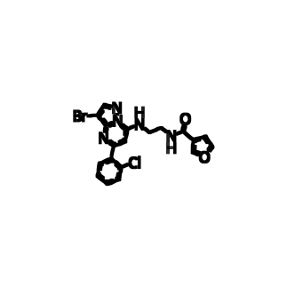 O=C(NCCNc1cc(-c2ccccc2Cl)nc2c(Br)cnn12)c1ccoc1